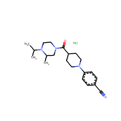 CC(C)N1CCN(C(=O)C2CCN(c3ccc(C#N)cc3)CC2)CC1C.Cl